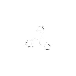 c1cnn(CC(Cn2cccn2)Cn2cccn2)c1